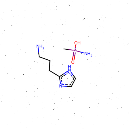 CP(N)(=O)O.NCCCc1ncc[nH]1